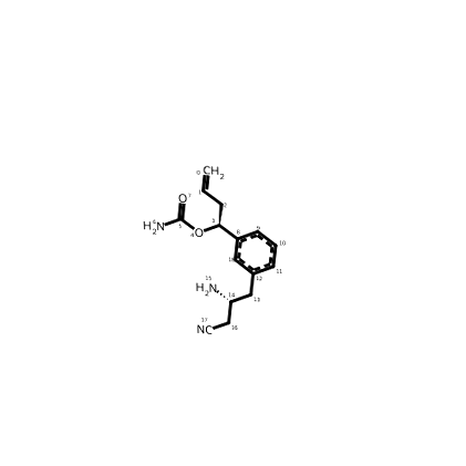 C=CC[C@H](OC(N)=O)c1cccc(C[C@@H](N)CC#N)c1